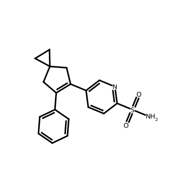 NS(=O)(=O)c1ccc(C2=C(c3ccccc3)CC3(CC3)C2)cn1